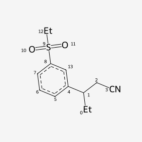 CCC(CC#N)c1cccc(S(=O)(=O)CC)c1